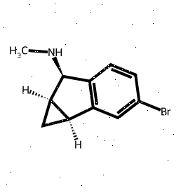 CN[C@H]1c2ccc(Br)cc2[C@H]2C[C@H]21